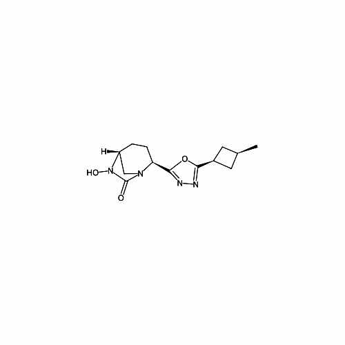 C[C@H]1C[C@@H](c2nnc([C@@H]3CC[C@@H]4CN3C(=O)N4O)o2)C1